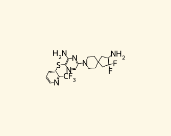 Nc1nc(N2CCC3(CC2)CC(N)C(F)(F)C3)cnc1Sc1cccnc1C(F)(F)F